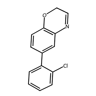 Clc1ccccc1-c1ccc2c(c1)N=CCO2